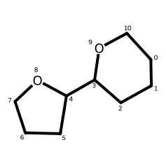 C1CCC(C2CCCO2)OC1